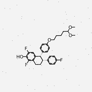 COC(CCCCOc1ccc([C@H]2c3cc(F)c(O)c(F)c3CC[C@H]2c2ccc(F)cc2)cc1)OC